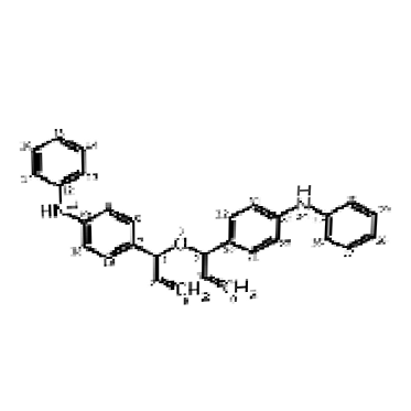 C=CC(OC(C=C)c1ccc(Nc2ccccc2)cc1)c1ccc(Nc2ccccc2)cc1